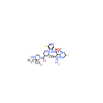 CN1CC(F)CNC1C(C(=O)Nc1cncc(F)c1N1CCC(C(=O)N2CCNC(C)(C)C2)CC1)C(N)N=O